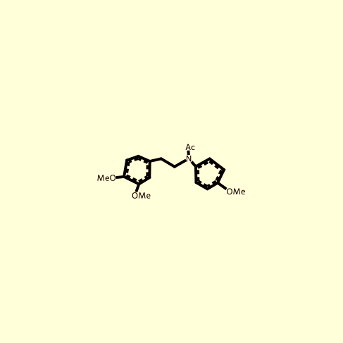 COc1ccc(N(CCc2ccc(OC)c(OC)c2)C(C)=O)cc1